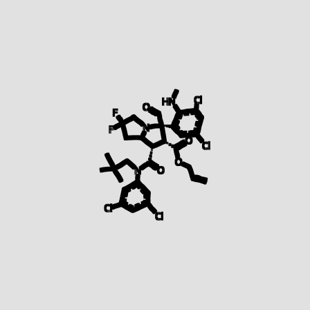 C=CCOC(=O)[C@@H]1[C@H](C(=O)N(CC(C)(C)C)c2cc(Cl)cc(Cl)c2)C2CC(F)(F)CN2[C@]1(C=O)c1cc(Cl)cc(Cl)c1NC